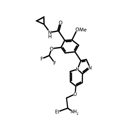 CCC(N)COc1ccn2c(-c3cc(OC)c(C(=O)NC4CC4)c(OC(F)F)c3)cnc2c1